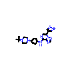 CC(C)(C)N1CCN(c2ccc(Nc3ncc(-c4cn[nH]c4)n4ncnc34)cc2)CC1